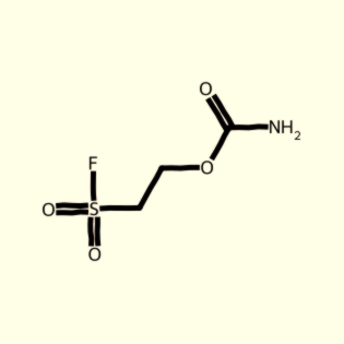 NC(=O)OCCS(=O)(=O)F